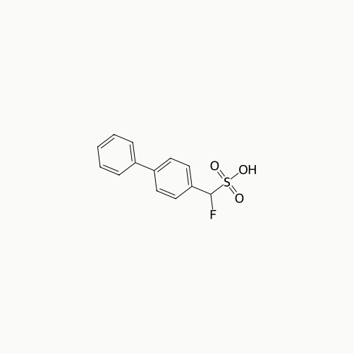 O=S(=O)(O)C(F)c1ccc(-c2ccccc2)cc1